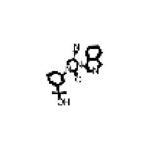 CC(C)(O)c1cccc(N2C[C@@H](C#N)N(c3cncc4ccccc34)C2=O)c1